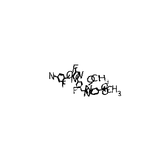 COCCn1c(Cc2ccc(-c3ncc(F)c(OCc4ccc(C#N)cc4F)n3)cc2F)nc2ccc(C(=O)OC)cc21